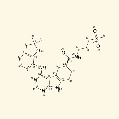 CC1(C)Cc2cccc(Nc3ncnc4[nH]c5c(c34)C[C@@H](C(=O)NCCCS(C)(=O)=O)CC5)c2O1